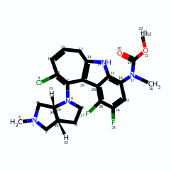 CN1C[C@H]2CCN(C3=C(Cl)C=CCc4[nH]c5c(N(C)C(=O)OC(C)(C)C)cc(F)c(F)c5c43)[C@H]2C1